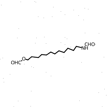 O=[C]NCCCCCCCCCCCCOC=O